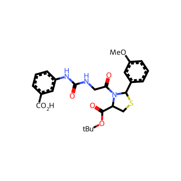 COc1cccc(C2SCC(C(=O)OC(C)(C)C)N2C(=O)CNC(=O)Nc2cccc(C(=O)O)c2)c1